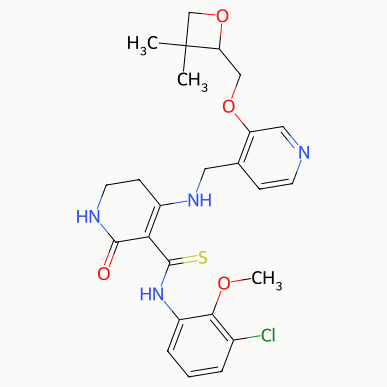 COc1c(Cl)cccc1NC(=S)C1=C(NCc2ccncc2OCC2OCC2(C)C)CCNC1=O